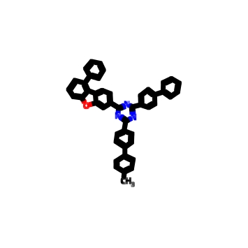 Cc1ccc(-c2ccc(-c3nc(-c4ccc(-c5ccccc5)cc4)nc(-c4ccc5c(c4)oc4cccc(-c6ccccc6)c45)n3)cc2)cc1